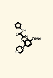 COc1ccc(N2CCOCC2)c2sc(C(=O)NC3CCCC3)nc12